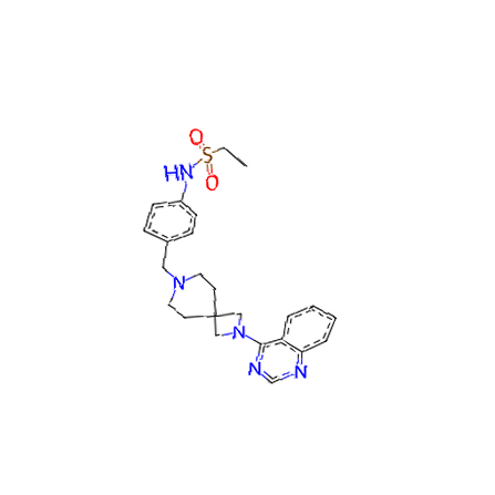 CCS(=O)(=O)Nc1ccc(CN2CCC3(CC2)CN(c2ncnc4ccccc24)C3)cc1